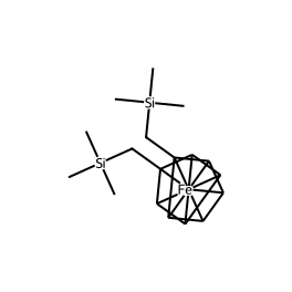 C[Si](C)(C)C[C]12[CH]3[CH]4[CH]5[CH]1[Fe]45321678[CH]2[CH]1[CH]6[C]7(C[Si](C)(C)C)[CH]28